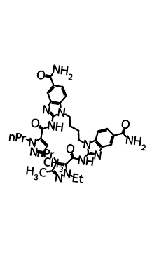 CCCc1c(C)nn(CC)c1C(=O)Nc1nc2cc(C(N)=O)ccc2n1CCCCn1c(NC(=O)c2cc(C)nn2CCC)nc2cc(C(N)=O)ccc21